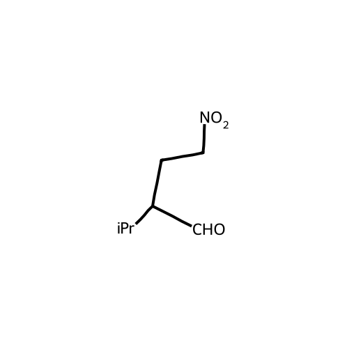 CC(C)C(C=O)CC[N+](=O)[O-]